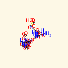 CC[C@H](C)[C@@H]([C@@H](CC(=O)N1C[C@@H](NC(=O)OCc2ccc(NC(=O)[C@H](CCCNC(N)=O)NC(=O)[C@@H](NC(=O)CCCCCN3C(=O)CC(SCC4(CC(=O)O)CC4)C3=O)C(C)C)cc2)C[C@H]1[C@H](OC)[C@@H](C)C(=O)NCC(=O)c1ccc(OC)c(OC)c1)OC)N(C)C(=O)[C@@H](NC(=O)[C@H](C(C)C)N(C)C)C(C)C